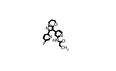 CCC(=O)Nc1cc(-c2c(-c3ccc(F)cn3)nn3c2OCCC3)ccn1